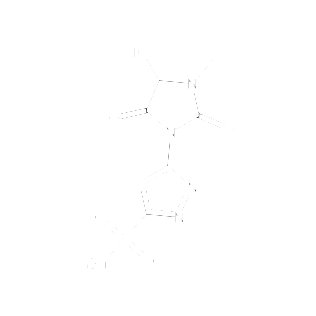 CCCCS(=O)(=O)c1nnc(N2C(=O)C(O)N(C)C2=O)s1